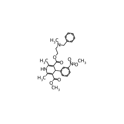 COC(=O)C1=C(C)NC(C)=C(C(=O)OCCN(C)Cc2ccccc2)C1c1cccc([N+](=O)OC)c1